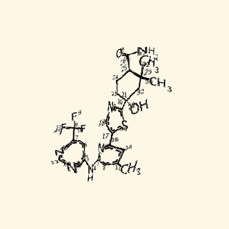 Cc1cc(Nc2cc(C(F)(F)F)ncn2)nc(-c2cnc([C@@]3(O)CC[C@@H](C(N)=O)C(C)(C)C3)s2)c1